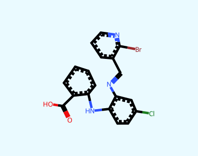 O=C(O)c1ccccc1Nc1ccc(Cl)cc1N=Cc1cccnc1Br